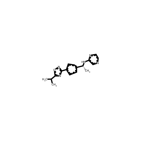 CC(C)c1nc(-c2ccc([C@@H](C)Nc3cnccn3)cc2)no1